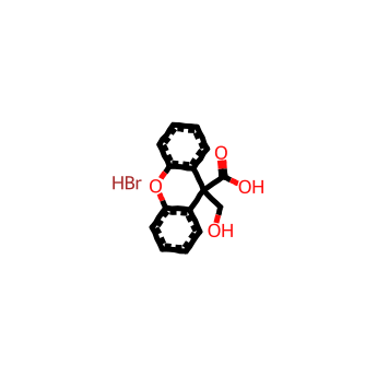 Br.O=C(O)C1(CO)c2ccccc2Oc2ccccc21